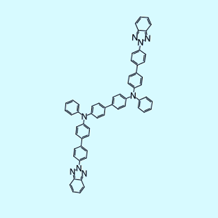 c1ccc(N(c2ccc(-c3ccc(N(c4ccccc4)c4ccc(-c5ccc(-n6nc7ccccc7n6)cc5)cc4)cc3)cc2)c2ccc(-c3ccc(-n4nc5ccccc5n4)cc3)cc2)cc1